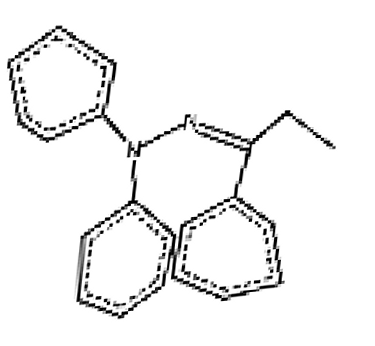 CC/C(=N/N(c1ccccc1)c1ccccc1)c1ccccc1